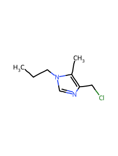 CCCn1cnc(CCl)c1C